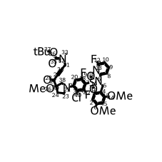 COc1ccc(CN(c2cccc(F)n2)S(=O)(=O)c2c(F)cc(N3CC[C@@](OC)(C(=O)C#CCN(C)C(=O)OC(C)(C)C)C3)c(Cl)c2F)c(OC)c1